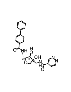 O=C(NC[C@H]1OC[C@@](O)(CNC(=O)c2ccnnc2)[C@@H]1O)c1ccc(-c2ccccc2)cc1